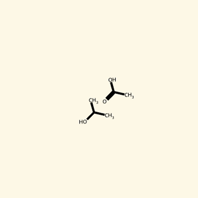 CC(=O)O.CC(C)O